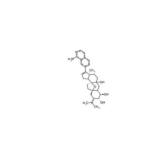 CN(C)[C@H]1C[C@@]23CC[C@]4(O2)C2CC=C(c5ccc6ccnc(N)c6c5)[C@@]2(C)CCC4(O)CC3[C@@H](O)[C@@H]1O